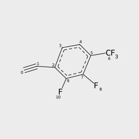 C#Cc1ccc(C(F)(F)F)c(F)c1F